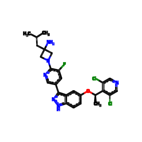 CC(C)CC1(N)CN(c2ncc(-c3n[nH]c4ccc(O[C@H](C)c5c(Cl)cncc5Cl)cc34)cc2F)C1